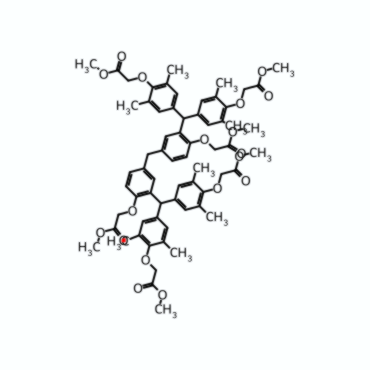 COC(=O)COc1ccc(Cc2ccc(OCC(=O)OC)c(C(c3cc(C)c(OCC(=O)OC)c(C)c3)c3cc(C)c(OCC(=O)OC)c(C)c3)c2)cc1C(c1cc(C)c(OCC(=O)OC)c(C)c1)c1cc(C)c(OCC(=O)OC)c(C)c1